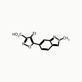 CCc1c(C(=O)O)noc1-c1ccc2cn(C)nc2c1